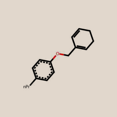 CCCc1ccc(OCC2=CCCC=C2)cc1